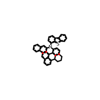 c1ccc(N(c2ccc3ccccc3c2)c2cccc3c2sc2ccccc23)c(-c2cccc3cccc(C4CCCCC4)c23)c1